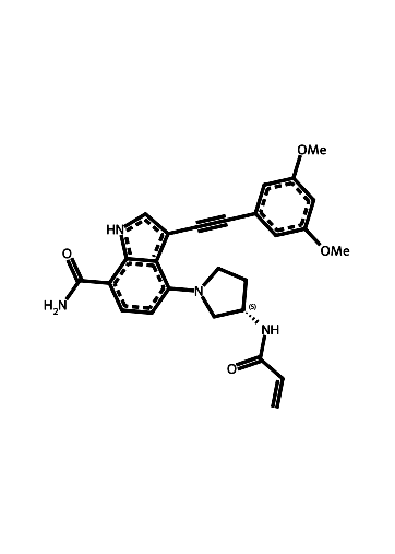 C=CC(=O)N[C@H]1CCN(c2ccc(C(N)=O)c3[nH]cc(C#Cc4cc(OC)cc(OC)c4)c23)C1